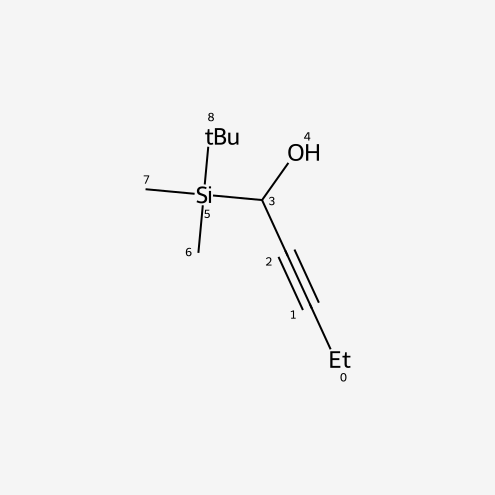 CCC#CC(O)[Si](C)(C)C(C)(C)C